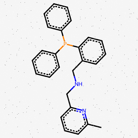 Cc1cccc(CNCc2ccccc2P(c2ccccc2)c2ccccc2)n1